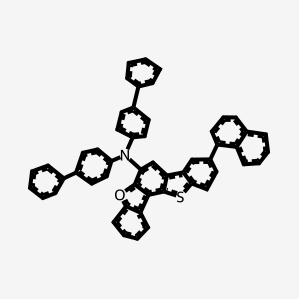 c1ccc(-c2ccc(N(c3ccc(-c4ccccc4)cc3)c3cc4c5cc(-c6cccc7ccccc67)ccc5sc4c4c3oc3ccccc34)cc2)cc1